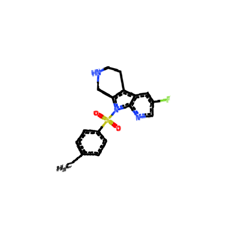 Cc1ccc(S(=O)(=O)n2c3c(c4cc(F)cnc42)CCNC3)cc1